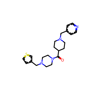 O=C(C1CCN(Cc2ccncc2)CC1)N1CCN(Cc2ccsc2)CC1